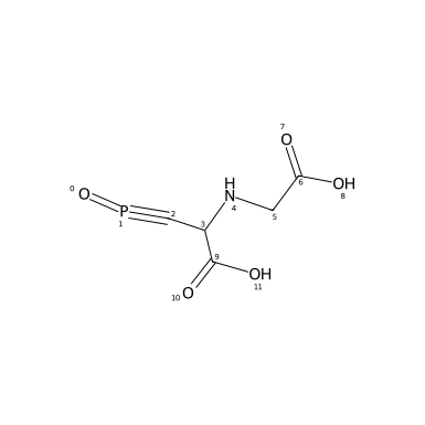 O=P#CC(NCC(=O)O)C(=O)O